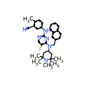 Cc1ccc(Nc2ncc(F)c(N(Cc3ccc4ccccc4c3)C3CC(C)(C)N(C)C(C)(C)C3)n2)cc1C#N